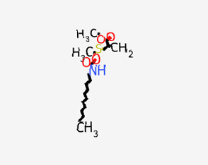 C=C(CSC(C)OC(=O)NCCCCCCCCCCCC)C(=O)OCC